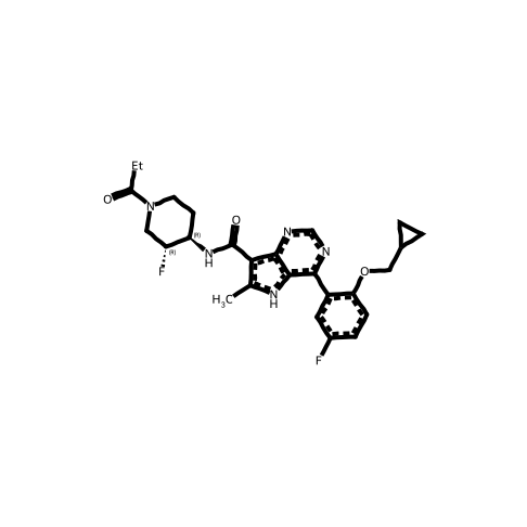 CCC(=O)N1CC[C@@H](NC(=O)c2c(C)[nH]c3c(-c4cc(F)ccc4OCC4CC4)ncnc23)[C@H](F)C1